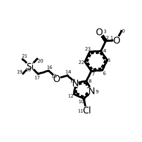 COC(=O)c1ccc(-c2nc(Cl)cn2COCC[Si](C)(C)C)cc1